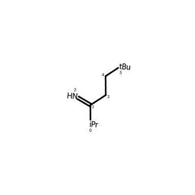 CC(C)C(=N)CCC(C)(C)C